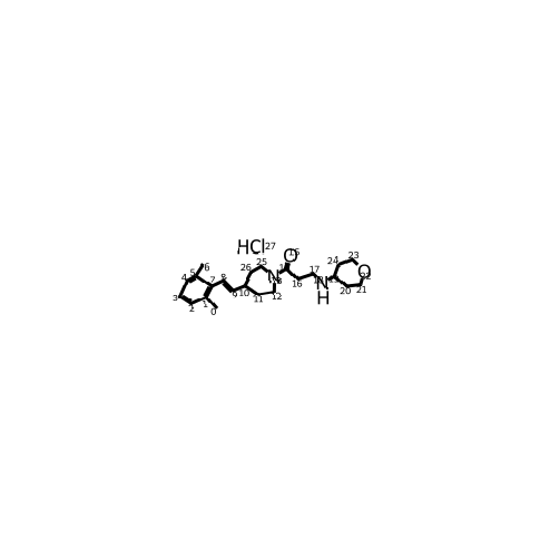 Cc1cccc(C)c1C=CC1CCN(C(=O)CCNC2CCOCC2)CC1.Cl